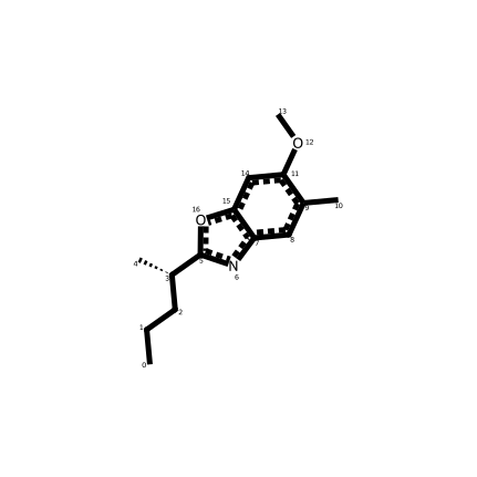 CCC[C@H](C)c1nc2cc(C)c(OC)cc2o1